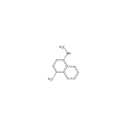 CBc1ccc(C)c2ccccc12